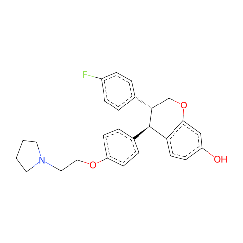 Oc1ccc2c(c1)OC[C@@H](c1ccc(F)cc1)[C@@H]2c1ccc(OCCN2CCCC2)cc1